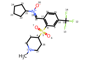 CN1CCC(S(=O)(=O)c2cc(C(F)(F)F)ccc2/C=[N+](\[O-])C2CCCC2)CC1